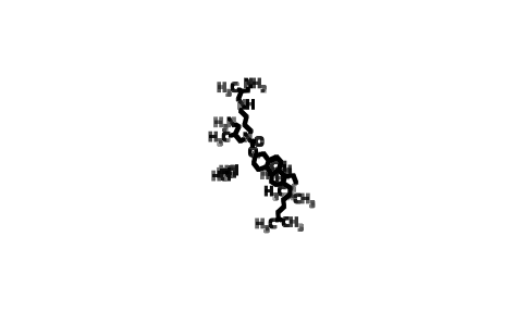 CC(C)CCC[C@@H](C)[C@H]1CC[C@H]2[C@@H]3CC=C4C[C@@H](OC(=O)N(CCCCNCC(C)CN)CC(C)CN)CC[C@]4(C)[C@H]3CC[C@]12C.Cl.Cl.Cl